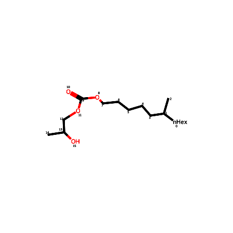 CCCCCCC(C)CCCCCOC(=O)OCC(C)O